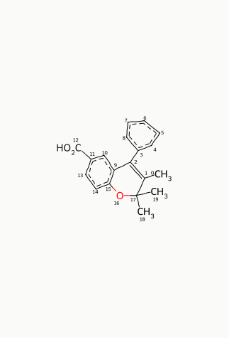 CC1=C(c2ccccc2)c2cc(C(=O)O)ccc2OC1(C)C